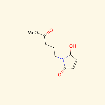 COC(=O)CCCN1C(=O)C=CC1O